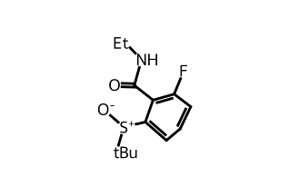 CCNC(=O)c1c(F)cccc1[S+]([O-])C(C)(C)C